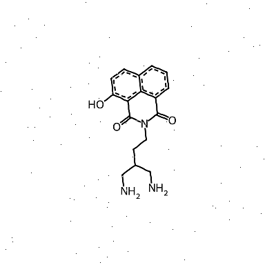 NCC(CN)CCN1C(=O)c2cccc3ccc(O)c(c23)C1=O